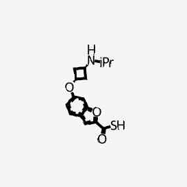 CC(C)N[C@H]1C[C@@H](Oc2ccc3cc(C(=O)S)oc3c2)C1